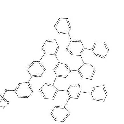 O=S(=O)(Oc1cccc(-c2ccc(-c3ccccc3-c3cc(-c4ccccc4-c4cnc(-c5ccccc5)cc4-c4ccccc4)cc(-c4ccccc4-c4cnc(-c5ccccc5)cc4-c4ccccc4)c3)cn2)c1)C(F)(F)F